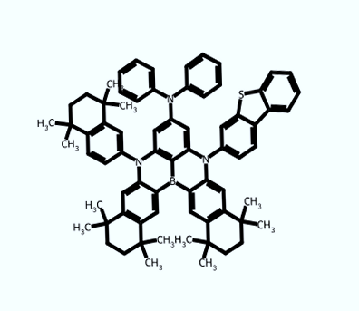 CC1(C)CCC(C)(C)c2cc(N3c4cc5c(cc4B4c6cc7c(cc6N(c6ccc8c(c6)sc6ccccc68)c6cc(N(c8ccccc8)c8ccccc8)cc3c64)C(C)(C)CCC7(C)C)C(C)(C)CCC5(C)C)ccc21